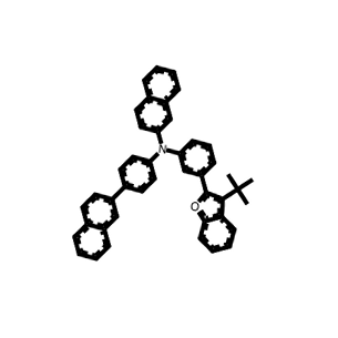 CC(C)(C)c1c(-c2cccc(N(c3ccc(-c4ccc5ccccc5c4)cc3)c3ccc4ccccc4c3)c2)oc2ccccc12